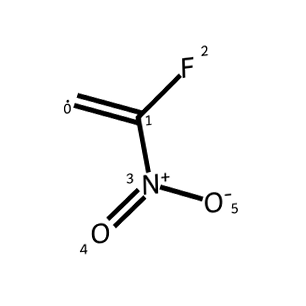 [CH]=C(F)[N+](=O)[O-]